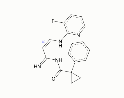 N=C(/C=C\Nc1ncccc1F)NC(=O)C1(c2ccccc2)CC1